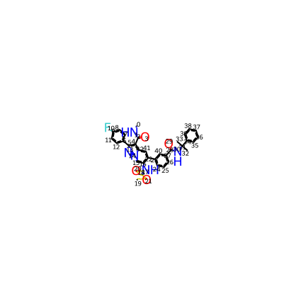 CNC(=O)c1c(-c2ccc(F)cc2)nn2cc(NS(C)(=O)=O)c(-c3cccc(C(=O)NC(C)(C)c4ccccc4)c3)cc12